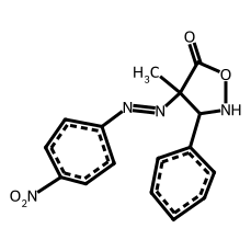 CC1(N=Nc2ccc([N+](=O)[O-])cc2)C(=O)ONC1c1ccccc1